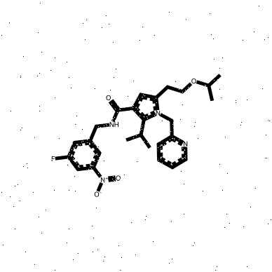 CC(C)OCCc1cc(C(=O)NCc2cc(F)cc([N+](=O)[O-])c2)c(C(C)C)n1Cc1ccccn1